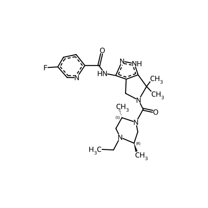 CCN1C[C@H](C)N(C(=O)N2Cc3c(NC(=O)c4ccc(F)cn4)n[nH]c3C2(C)C)C[C@H]1C